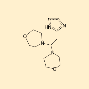 c1c[nH]c(CC(N2CCOCC2)N2CCOCC2)n1